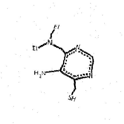 CCN(CC)c1ncnc(S)c1N